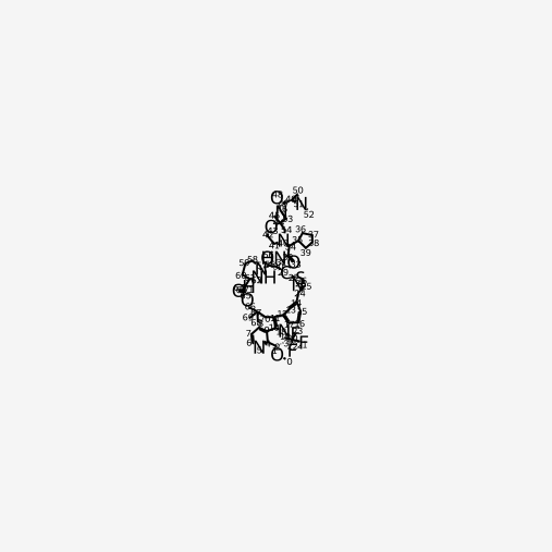 CO[C@@H](C)c1ncccc1-c1c2c3cc(ccc3n1CC(F)(F)F)-c1csc(n1)C[C@H](NC(=O)C(C1CCCC1)N1CCOC3(CN(C(=O)[C@H]4CN4C)C3)C1)C(=O)N1CCC[C@H](N1)C(=O)OCC(C)(C)C2